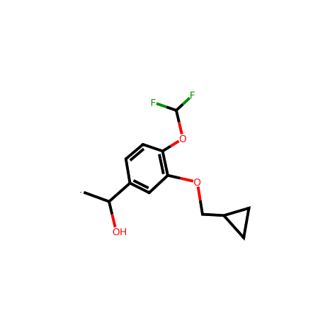 [CH2]C(O)c1ccc(OC(F)F)c(OCC2CC2)c1